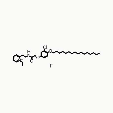 CCCCCCCCCCCCCCCCOc1ccc(OCC(=O)NCCc2cccc[n+]2CC)cc1Cl.[I-]